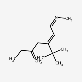 C=C(CC)C/C(=C\C=N/C)C(C)(C)C